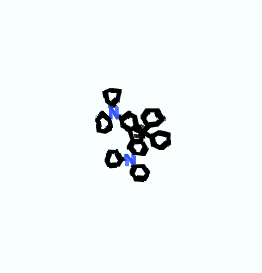 c1ccc(N(c2ccccc2)c2ccc3c(c2)-c2cc(N(c4ccccc4)c4ccccc4)ccc2[Si]3(c2ccccc2)c2ccccc2)cc1